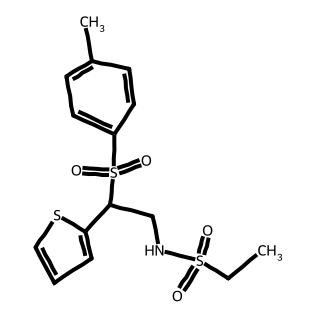 CCS(=O)(=O)NCC(c1cccs1)S(=O)(=O)c1ccc(C)cc1